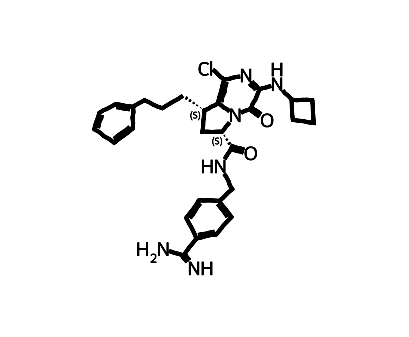 N=C(N)c1ccc(CNC(=O)[C@@H]2C[C@H](CCCc3ccccc3)c3c(Cl)nc(NC4CCC4)c(=O)n32)cc1